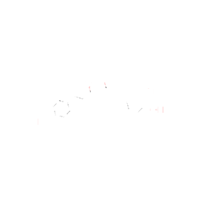 Cc1cc(/C=C/C(=O)CC(=O)[C@H](C)CC2=CC=C(O)C(O)C2C)ccc1O